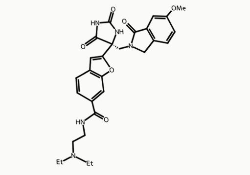 CCN(CC)CCNC(=O)c1ccc2cc([C@]3(CN4Cc5ccc(OC)cc5C4=O)NC(=O)NC3=O)oc2c1